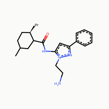 CC1CC[C@@H](C(C)C)C(C(=O)Nc2cc(-c3ccccc3)nn2CCN)C1